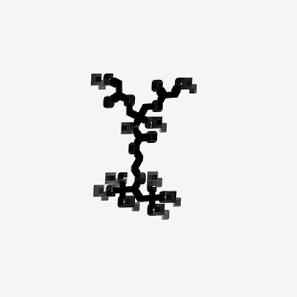 C=CC(=O)OCC(C)(COC(=O)C=C)NC(=O)OCCOC(CC(C)(C)C)C(C)(C)C